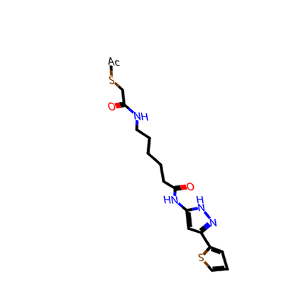 CC(=O)SCC(=O)NCCCCCC(=O)Nc1cc(-c2cccs2)n[nH]1